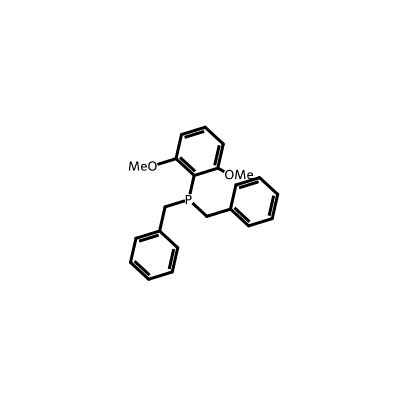 COc1cccc(OC)c1P(Cc1ccccc1)Cc1ccccc1